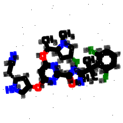 C[C@H](Oc1cc(O[C@H]2CN[C@H](CC#N)C2)nc(-c2nc(C(C)(C)c3c(F)cccc3F)no2)n1)[C@@H]1C[C@@H](F)CN1C